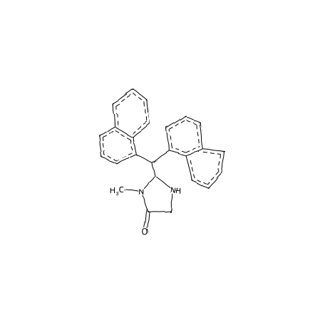 CN1C(=O)CNC1C(c1cccc2ccccc12)c1cccc2ccccc12